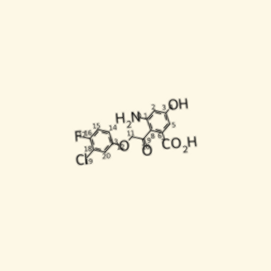 Nc1cc(O)cc(C(=O)O)c1C(=O)COc1ccc(F)c(Cl)c1